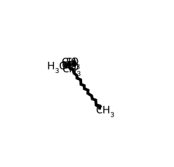 CC=CCCCCCCCCCCCCCCC(CC)(P(=O)=O)[N+](C)(C)C